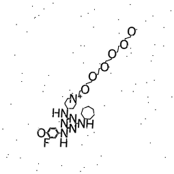 COCCOCCOCCOCCOCCOCC[N+]1(C)CCC(Nc2nc(Nc3ccc(OC)c(F)c3)nc(NC3CCCCCC3)n2)CC1